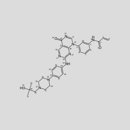 C=CC(=O)Nc1cccc(-n2cnc(=O)c3cnc(Nc4ccc(N5CCN(CC(C)(C)O)CC5)cc4)nc32)c1